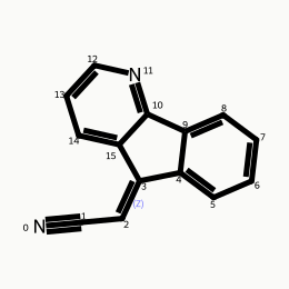 N#C/C=C1/c2ccccc2-c2ncccc21